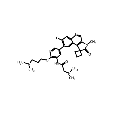 CN(C)CCCOc1ncc(-c2cc3c4c(cnc3cc2F)N(C)C(=O)C42CCC2)cc1NC(=O)CN(C)C